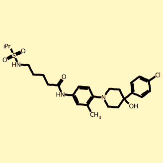 Cc1cc(NC(=O)CCCCNS(=O)(=O)C(C)C)ccc1N1CCC(O)(c2ccc(Cl)cc2)CC1